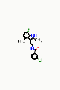 Cc1[nH]c2c(F)ccc(C)c2c1CCNC(=O)c1cccc(Cl)c1